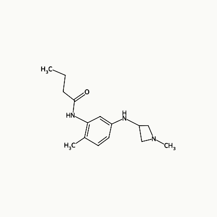 CCCC(=O)Nc1cc(NC2CN(C)C2)ccc1C